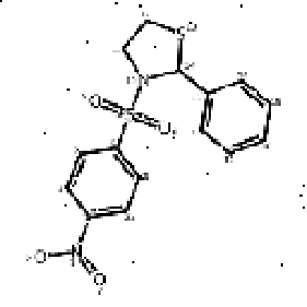 O=[N+]([O-])c1ccc(S(=O)(=O)N2CCSC2c2ccccc2)cc1